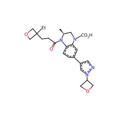 CCC1(CCC(=O)N2c3ccc(-c4cnn(C5COC5)c4)cc3N(C(=O)O)C[C@@H]2C)COC1